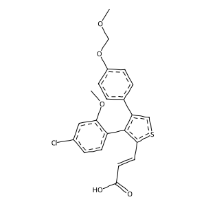 COCOc1ccc(-c2csc(C=CC(=O)O)c2-c2ccc(Cl)cc2OC)cc1